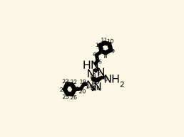 Nc1nc(NCCc2ccccc2)nc2c1ncn2CCc1ccccc1